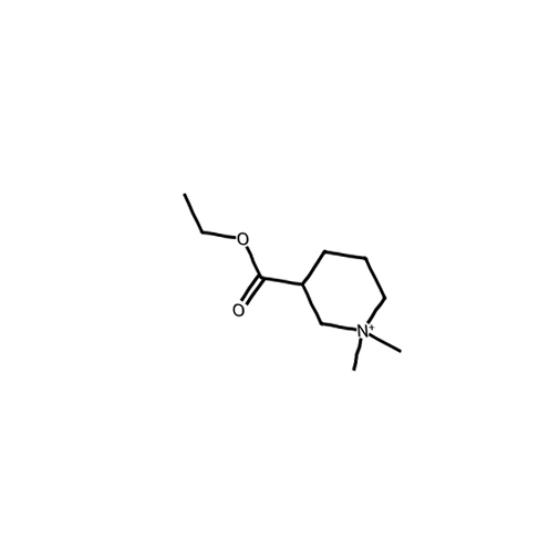 CCOC(=O)C1CCC[N+](C)(C)C1